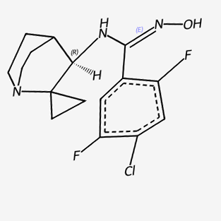 O/N=C(/N[C@@H]1C2CCN(CC2)C12CC2)c1cc(F)c(Cl)cc1F